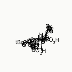 CC(C)(C)C(=O)OCc1ccc(OCCOCCNC(=O)[C@H](CS(=O)(=O)O)NC(=O)CCCCCN2C(=O)C=CC2=O)cc1O[C@@H]1C[C@H](C(=O)O)[C@@H](O)[C@H](O)[C@H]1O